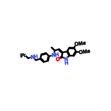 COc1cc2c(cc1OC)C(=CC(C)Nc1ccc(CNCC(C)C)cc1)C(=O)N2